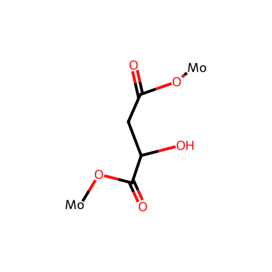 O=C(CC(O)C(=O)[O][Mo])[O][Mo]